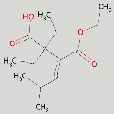 CCOC(=O)C(=CC(C)C)C(CC)(CC)C(=O)O